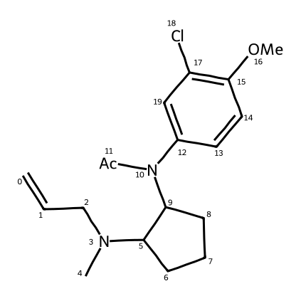 C=CCN(C)C1CCCC1N(C(C)=O)c1ccc(OC)c(Cl)c1